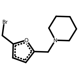 BrCc1ccc(CN2CCCCC2)o1